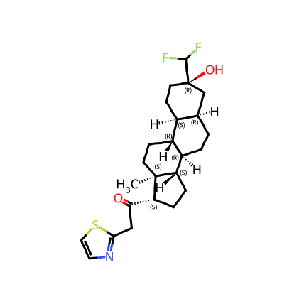 C[C@]12CC[C@H]3[C@@H](CC[C@@H]4C[C@@](O)(C(F)F)CC[C@@H]43)[C@@H]1CC[C@@H]2C(=O)Cc1nccs1